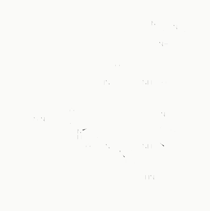 CC(=O)N[C@@H](Cc1ccccc1)C(=O)N[C@H]1CCCNC(=O)[C@H](CCCNC(=N)N)NC(=O)CNC(=O)[C@@H](Cc2c[nH]c3ccccc23)NC(=O)[C@@H]2CCCN2C1=O